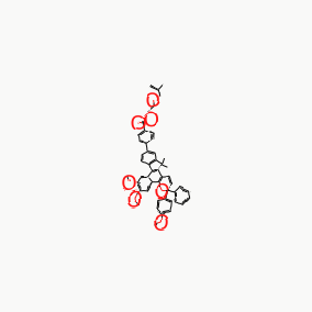 C=C(C)COCCOC(=O)c1ccc(-c2ccc3c(c2)C(C)(C)c2c4c(c5cc(OC)c(OC)cc5c2-3)OC(c2ccccc2)(c2ccc(OC)cc2)C=C4)cc1